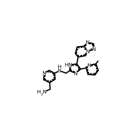 Cc1cccc(-c2nc(CNc3cncc(CN)c3)[nH]c2-c2ccc3ncnn3c2)n1